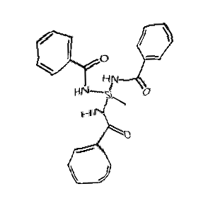 C[Si](NC(=O)c1ccccc1)(NC(=O)c1ccccc1)NC(=O)c1ccccc1